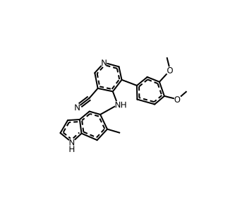 COc1ccc(-c2cncc(C#N)c2Nc2cc3cc[nH]c3cc2C)cc1OC